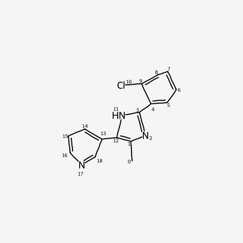 Cc1nc(-c2ccccc2Cl)[nH]c1-c1cccnc1